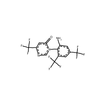 Nc1cc(C(F)(F)F)cc(C(F)(F)F)c1-n1cnc(C(F)(F)F)cc1=O